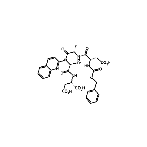 CC(C)[C@@H](C(=O)N[C@@H](CC(=O)O)C(=O)O)N(C(=O)[C@H](C)NC(=O)[C@H](CC(=O)O)NC(=O)OCc1ccccc1)c1ccc2ccccc2n1